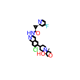 C[C@@]1(N2CCC(c3cc4cc(NC(=O)[C@H]5C[C@@H]5c5cc(F)ccn5)ncc4cc3Cl)CC2)COC[C@@H]1O